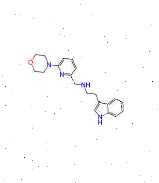 c1cc(CNCCc2c[nH]c3ccccc23)nc(N2CCOCC2)c1